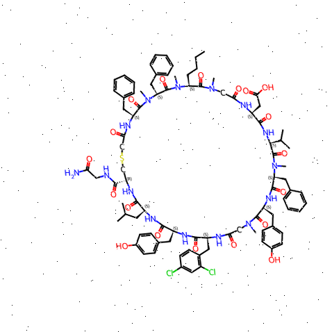 CCCC[C@H]1C(=O)N(C)CC(=O)N[C@@H](CC(=O)O)C(=O)N[C@@H](C(C)C)C(=O)N(C)[C@@H](Cc2ccccc2)C(=O)N[C@@H](Cc2ccc(O)cc2)C(=O)N(C)CC(=O)N[C@@H](Cc2ccc(Cl)cc2Cl)C(=O)N[C@@H](Cc2ccc(O)cc2)C(=O)N[C@@H](CC(C)C)C(=O)N[C@H](C(=O)NCC(N)=O)CSCC(=O)N[C@@H](Cc2ccccc2)C(=O)N(C)[C@@H](Cc2ccccc2)C(=O)N1C